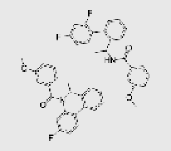 COc1cccc(C(=O)N2c3cc(F)ccc3-c3ccccc3C2C)c1.COc1cccc(C(=O)NC(C)c2ccccc2-c2ccc(F)cc2F)c1